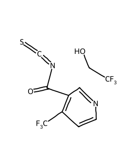 O=C(N=C=S)c1cnccc1C(F)(F)F.OCC(F)(F)F